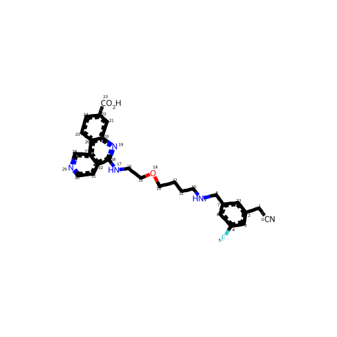 N#CCc1cc(F)cc(CNCCCCOCCNc2nc3cc(C(=O)O)ccc3c3cnccc23)c1